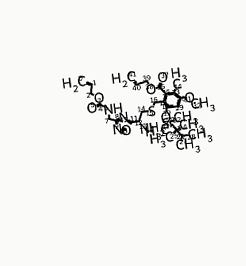 C=CCOC(=O)NCc1noc([C@@H](N)CSCc2c(O[Si](C)(C)C(C)(C)C(C)C)cc(OC)c(C)c2C(=O)OCC=C)n1